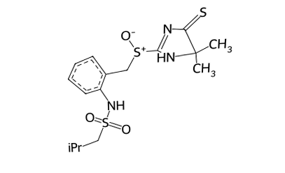 CC(C)CS(=O)(=O)Nc1ccccc1C[S+]([O-])C1=NC(=S)C(C)(C)N1